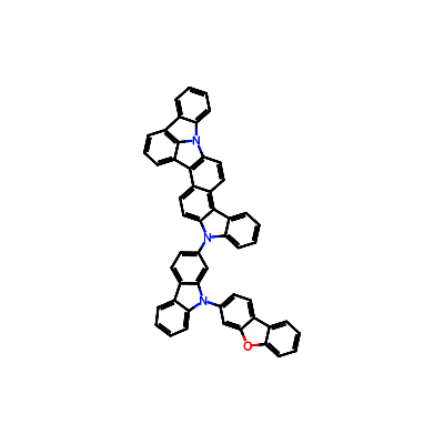 c1ccc2c(c1)oc1cc(-n3c4ccccc4c4ccc(-n5c6ccccc6c6c7ccc8c(c7ccc65)c5cccc6c7ccccc7n8c65)cc43)ccc12